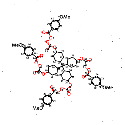 COc1ccc(C(=O)OOC(=O)OC2CCC(C(C3CCC(OC(=O)OOC(=O)c4ccc(OC)cc4)CC3)(C3CCC(OC(=O)OOC(=O)c4ccc(OC)cc4)CC3)C3CCC(OC(=O)OOC(=O)c4ccc(OC)cc4)CC3)CC2)cc1